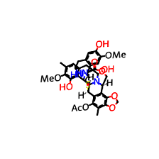 COc1cc2c(cc1O)CCN[C@]21CS[C@@H]2c3c(OC(C)=O)c(C)c4c(c3[C@H](COC1=O)N1[C@@H]2C2NC(Cc3cc(C)c(OC)c(O)c32)[C@@H]1O)OCO4